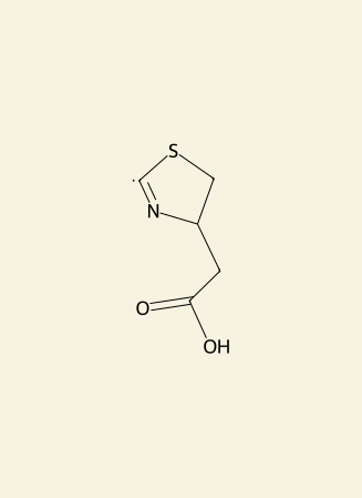 O=C(O)CC1CS[C]=N1